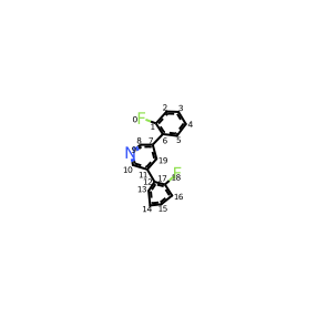 Fc1ccccc1-c1cncc(-c2ccccc2F)c1